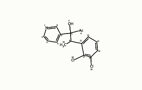 CC(=O)C(O)(c1cccnc1)C(C)c1cccc(Cl)c1Cl